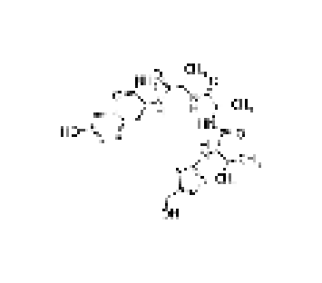 CC(C)C(Nc1ncc(CO)s1)C(=O)N[C@@H](C)C(=O)N[C@@H](C)C(=O)N[C@@H](Cc1ccc(O)cc1)C(N)=O